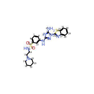 Nc1nc(Nc2cccc(S(=O)(=O)NCCN3CCCCC3)c2)nn1-c1nc2ccccc2s1